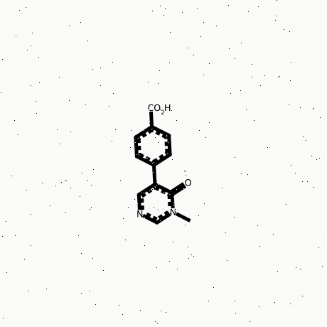 Cn1cncc(-c2ccc(C(=O)O)cc2)c1=O